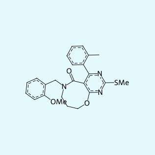 COc1ccccc1CN1CCCOc2nc(SC)nc(-c3ccccc3C)c2C1=O